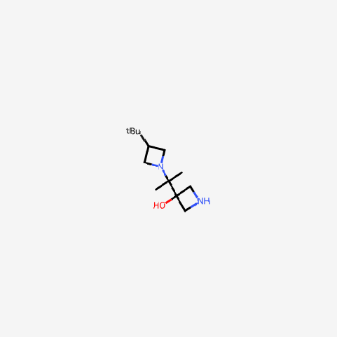 CC(C)(C)C1CN(C(C)(C)C2(O)CNC2)C1